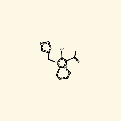 CC(=O)c1c([O-])n(Cc2cncs2)c2cccc[n+]12